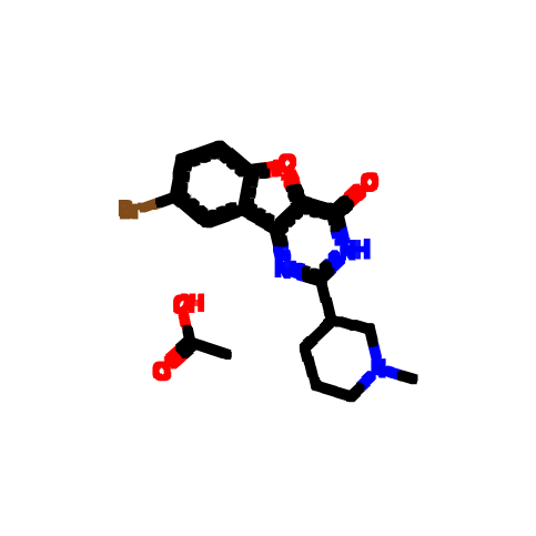 CC(=O)O.CN1CCCC(c2nc3c(oc4ccc(Br)cc43)c(=O)[nH]2)C1